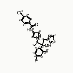 C[C@@H](n1cc(NC(=O)c2ccc(Cl)cc2)cn1)[C@](O)(Cn1cncn1)c1ccc(F)cc1F